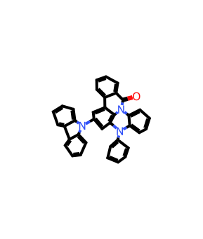 O=c1c2ccccc2c2cc(-n3c4ccccc4c4ccccc43)cc3c2n1-c1ccccc1N3c1ccccc1